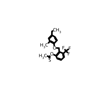 CCc1ccc(OCc2c(OC(C)=S)cccc2C(F)(F)F)c(C)c1